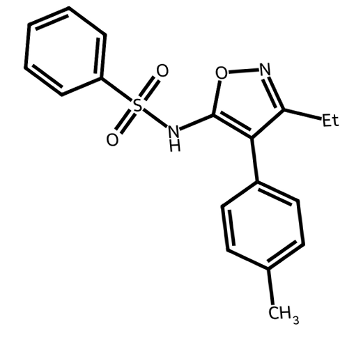 CCc1noc(NS(=O)(=O)c2ccccc2)c1-c1ccc(C)cc1